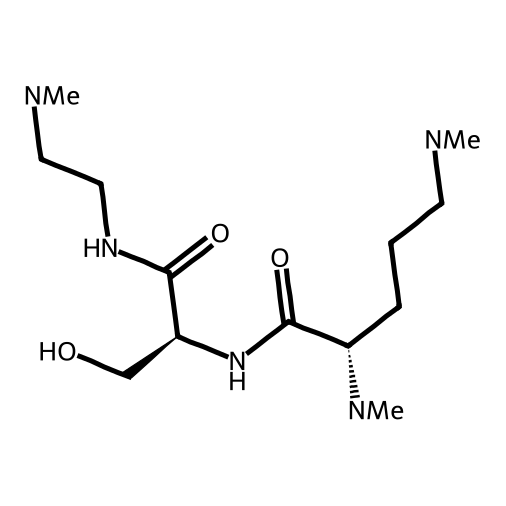 CNCCC[C@H](NC)C(=O)N[C@@H](CO)C(=O)NCCNC